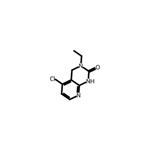 CCN1Cc2c(Cl)ccnc2NC1=O